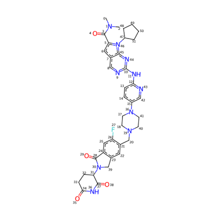 CN(C)C(=O)c1cc2cnc(Nc3ccc(N4CCN(Cc5cc6c(cc5F)C(=O)N(C5CCC(=O)NC5=O)C6)CC4)cn3)nc2n1C1CCCC1